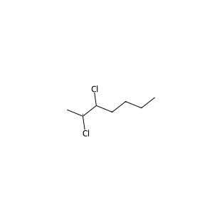 CCCCC(Cl)[C](C)Cl